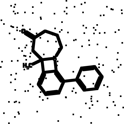 CC12CC(=O)CCCP1c1c(-c3ccccc3)cccc12